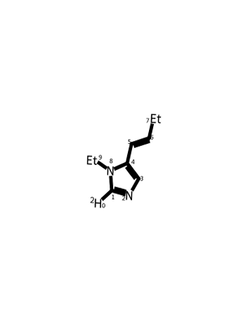 [2H]c1ncc(C=CCC)n1CC